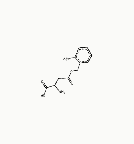 Nc1ccccc1COC(=O)CC(N)C(=O)O